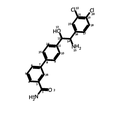 NC(=O)c1cccc(-c2ccc(C(O)C(N)c3ccc(Cl)c(Cl)c3)cc2)c1